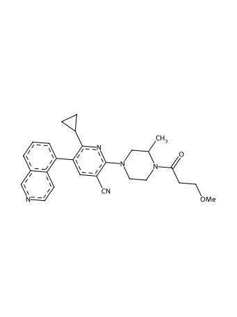 COCCC(=O)N1CCN(c2nc(C3CC3)c(-c3cccc4cnccc34)cc2C#N)CC1C